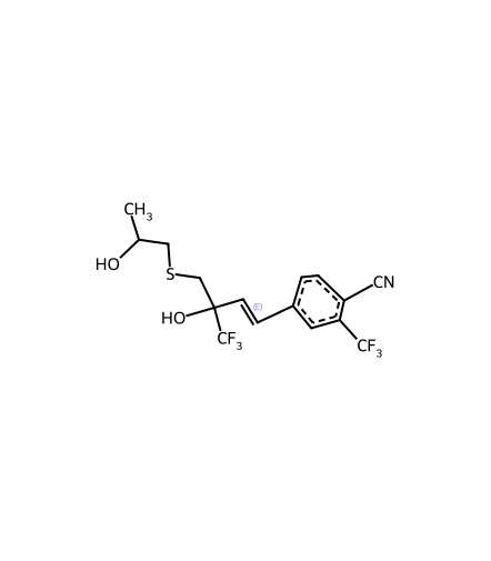 CC(O)CSCC(O)(/C=C/c1ccc(C#N)c(C(F)(F)F)c1)C(F)(F)F